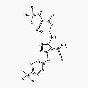 CN(CC(=O)Nc1ncn(Cc2ccc(C(C)(C)C)cc2)c1C(N)=O)C(=O)OC(C)(C)C